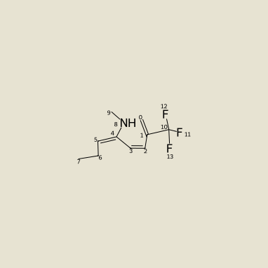 C=C(/C=C\C(=C/CC)NC)C(F)(F)F